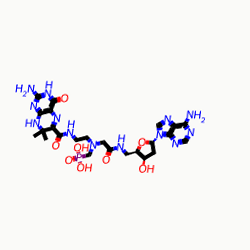 CC1(C)Nc2nc(N)[nH]c(=O)c2N=C1C(=O)NCCN(CC(=O)NC[C@H]1O[C@@H](n2cnc3c(N)ncnc32)C[C@H]1O)CP(=O)(O)O